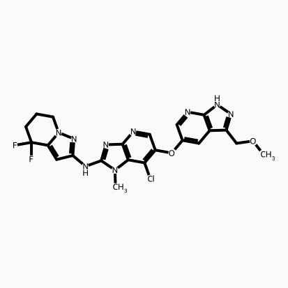 COCc1n[nH]c2ncc(Oc3cnc4nc(Nc5cc6n(n5)CCCC6(F)F)n(C)c4c3Cl)cc12